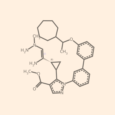 COC(=O)c1cnn(-c2cccc(-c3cccc(OC(C)C4CCCCCC4)c3)c2)c1C1C[C@H]1/C(N)=C/N(C)N